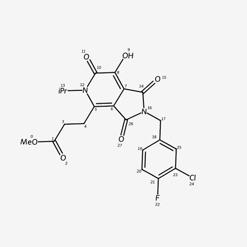 COC(=O)CCc1c2c(c(O)c(=O)n1C(C)C)C(=O)N(Cc1ccc(F)c(Cl)c1)C2=O